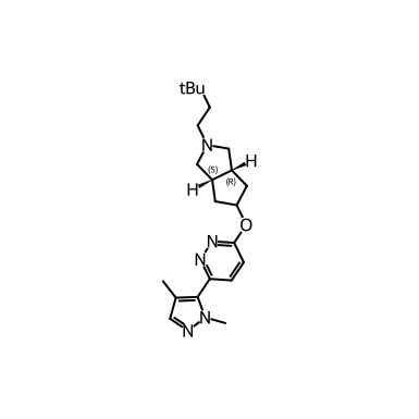 Cc1cnn(C)c1-c1ccc(OC2C[C@@H]3CN(CCC(C)(C)C)C[C@@H]3C2)nn1